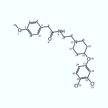 COc1ccc(CC(=O)NCCN2CCC(Oc3ccc(Cl)c(Cl)c3)CC2)cc1